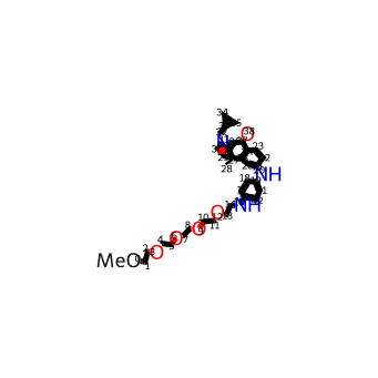 COCCOCCOCCOCCOCCNc1ccc(Nc2ccc3c(c2)[C@]2(C)CCN(CC4CC4)C(C3=O)[C@@H]2C)cc1